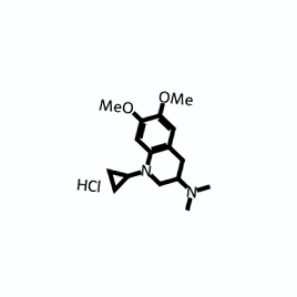 COc1cc2c(cc1OC)N(C1CC1)CC(N(C)C)C2.Cl